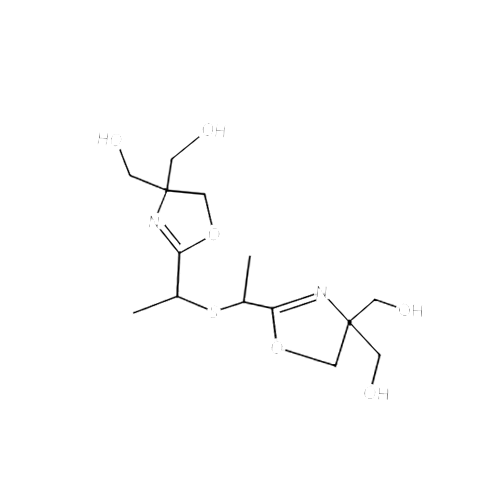 CC(SC(C)C1=NC(CO)(CO)CO1)C1=NC(CO)(CO)CO1